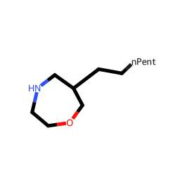 CCCCCCCC1CNCCOC1